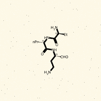 CCC[C@H](NC(=O)[C@@H](N)CC)C(=O)N[C@H](C=O)CCN